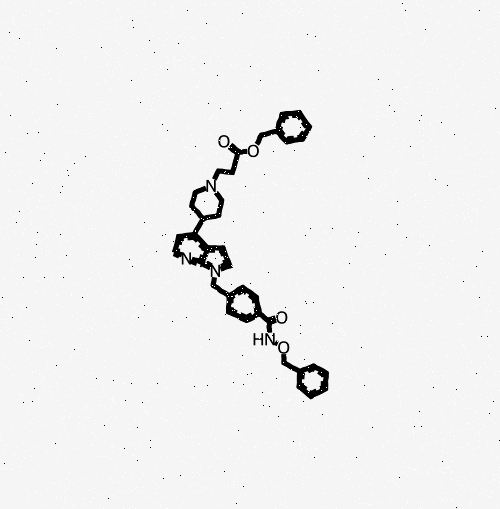 O=C(CCN1CCC(c2ccnc3c2ccn3Cc2ccc(C(=O)NOCc3ccccc3)cc2)CC1)OCc1ccccc1